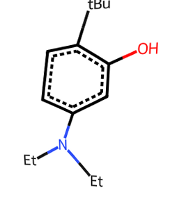 CCN(CC)c1ccc(C(C)(C)C)c(O)c1